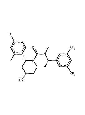 Cc1cc(F)ccc1[C@H]1C[C@@H](S)CCN1C(=O)N(C)[C@H](C)c1cc(C(F)(F)F)cc(C(F)(F)F)c1